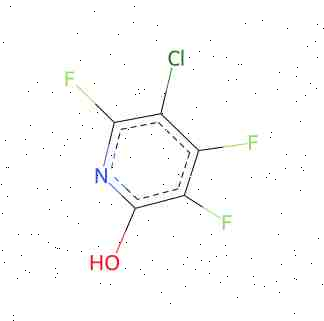 Oc1nc(F)c(Cl)c(F)c1F